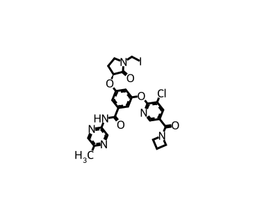 Cc1cnc(NC(=O)c2cc(Oc3ncc(C(=O)N4CCC4)cc3Cl)cc(O[C@H]3CCN(CI)C3=O)c2)cn1